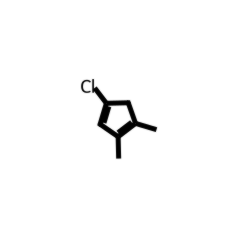 CC1=C(C)CC(Cl)=C1